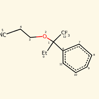 CCC(OCCC#N)(c1ccccc1)C(F)(F)F